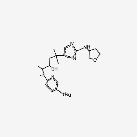 CC(Nc1ncc(C(C)(C)C)cn1)C(O)CC(C)(C)c1cnc(NC2CCOC2)nc1